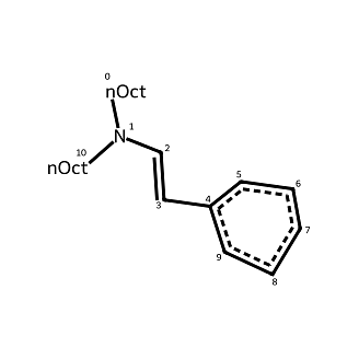 CCCCCCCCN(C=Cc1ccccc1)CCCCCCCC